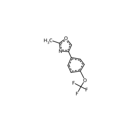 Cc1nc(-c2ccc(OC(F)(F)F)cc2)co1